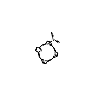 N#[C][Fe]([C]#N)[C]1=CC2=CC3=NC(=CC4=NC(=CC5=NC(=CC1=N2)C=C5)C=C4)C=C3